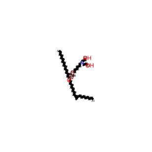 CCCCCCCCCCCCCCCC(OCCCCCCCCC1CC1CCCCCCCC)O[Si](C)(C)OCCCCCCN(CCO)CCO